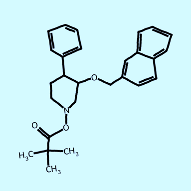 CC(C)(C)C(=O)ON1CCC(c2ccccc2)C(OCc2ccc3ccccc3c2)C1